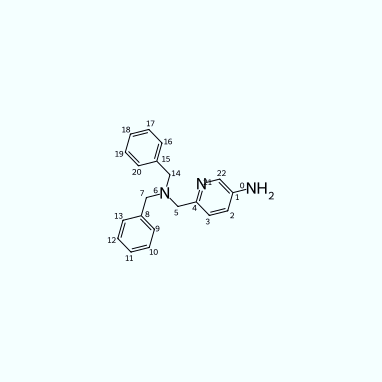 Nc1ccc(CN(Cc2ccccc2)Cc2ccccc2)nc1